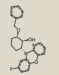 O[C@H]1[C@H](N2c3cc(F)ccc3Oc3cccnc32)CCC[C@H]1OCc1ccccc1